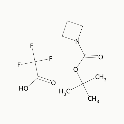 CC(C)(C)OC(=O)N1CCC1.O=C(O)C(F)(F)F